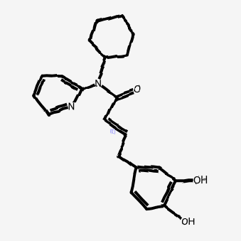 O=C(/C=C/Cc1ccc(O)c(O)c1)N(c1ccccn1)C1CCCCC1